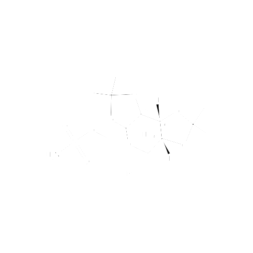 Br.CC1(C)O[C@@H]2[C@@H](CO[C@@]3(COS(N)(=O)=O)OC(C)(C)O[C@@H]23)O1